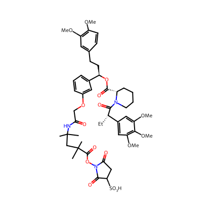 CC[C@H](C(=O)N1CCCC[C@H]1C(=O)O[C@H](CCc1ccc(OC)c(OC)c1)c1cccc(OCC(=O)NC(C)(C)CC(C)(C)C(=O)ON2C(=O)CC(S(=O)(=O)O)C2=O)c1)c1cc(OC)c(OC)c(OC)c1